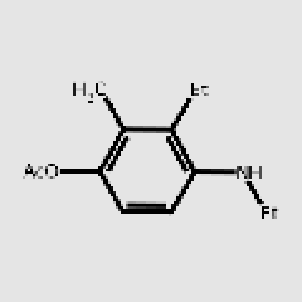 CCNc1ccc(OC(C)=O)c(C)c1CC